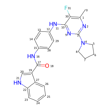 Cc1nc(N2CCCC2)nc(Nc2ccc(NC(=O)c3c[nH]c4ccccc34)cc2)c1F